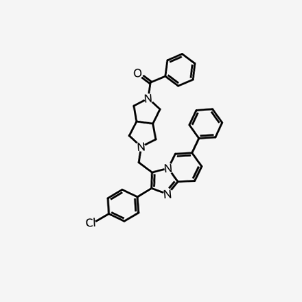 O=C(c1ccccc1)N1CC2CN(Cc3c(-c4ccc(Cl)cc4)nc4ccc(-c5ccccc5)cn34)CC2C1